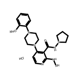 CCCNc1nccc(N2CCN(c3ccccc3OC)CC2)c1C(=O)NN1CCCC1.Cl